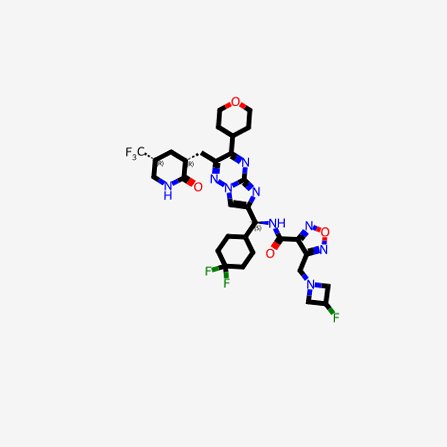 O=C(N[C@H](c1cn2nc(C[C@H]3C[C@@H](C(F)(F)F)CNC3=O)c(C3CCOCC3)nc2n1)C1CCC(F)(F)CC1)c1nonc1CN1CC(F)C1